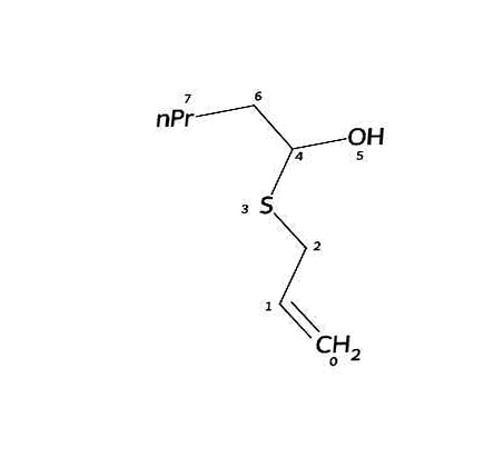 C=CCSC(O)CCCC